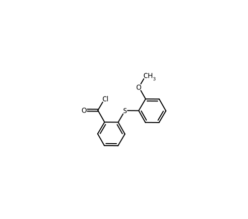 COc1ccccc1Sc1ccccc1C(=O)Cl